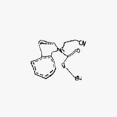 CC(C)(C)OC(=O)[N+]1(CC#N)C=Cc2ccccc21